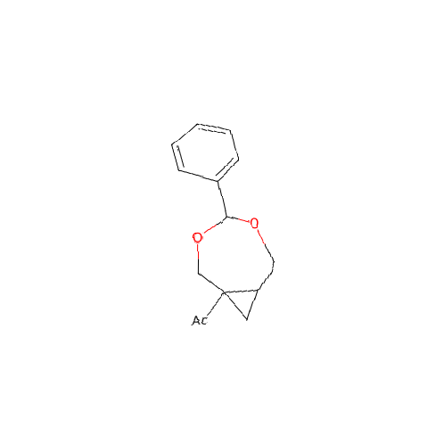 CC(=O)C12COC(c3ccccc3)OCC1C2